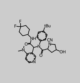 CN(C)c1ccncc1C(C(=O)NC1CCC(F)(F)CC1)N(C(=O)C1CC(O)CN1C#N)c1ccc(C(C)(C)C)cc1